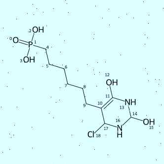 O=P(O)(O)CCCCCCC1=C(O)NC(O)NC1Cl